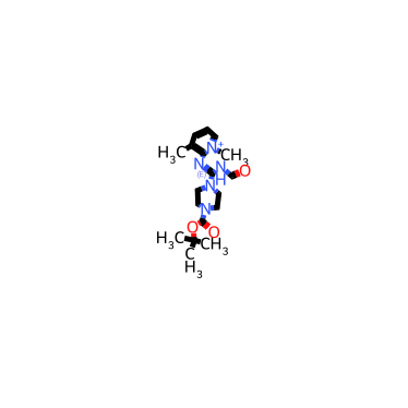 Cc1ccc[n+](C)c1/N=C(\NC=O)N1CCN(C(=O)OC(C)(C)C)CC1